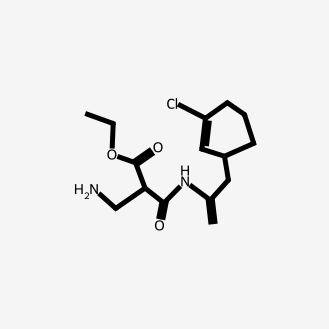 C=C(CC1C=C(Cl)CCC1)NC(=O)C(CN)C(=O)OCC